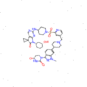 Cn1nc(N2CCC(=O)NC2=O)c2ccc(C3CCN(Cc4ccnc(S(=O)(=O)N5CCC(Nc6ncc7c(n6)N([C@@H]6CCC[C@@H](O)C6)C(=O)C76CC6)CC5)c4)CC3)cc21